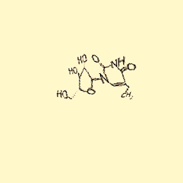 C=Cc1cn(C2O[C@H](CO)[C@@H](O)[C@@H]2O)c(=O)[nH]c1=O